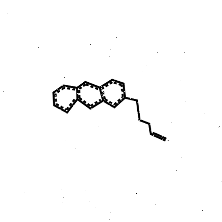 [CH]=CCCCc1ccc2cc3ccccc3cc2c1